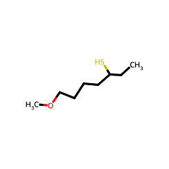 CCC(S)CCCCOC